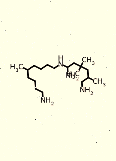 CC(CCCCN)CCCCNC(N)CC(C)(C)CC(C)CN